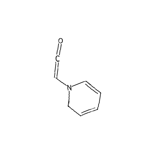 O=C=CN1C=CC=CC1